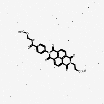 O=COCNC(=O)c1ccc(N2C(=O)c3ccc4c5c(ccc(c35)C2=O)C(=O)N(CCC(=O)O)C4=O)cc1